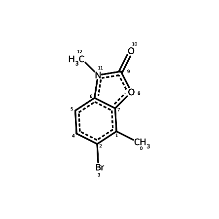 Cc1c(Br)ccc2c1oc(=O)n2C